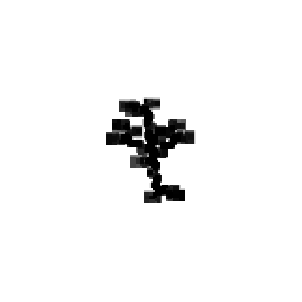 N=C(CCOCC(O)C(OCCC(=N)NO)C(OCCC(=N)NO)C(O)COCCC(=N)NO)NO